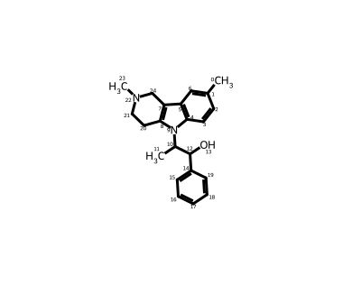 Cc1ccc2c(c1)c1c(n2C(C)C(O)c2ccccc2)CCN(C)C1